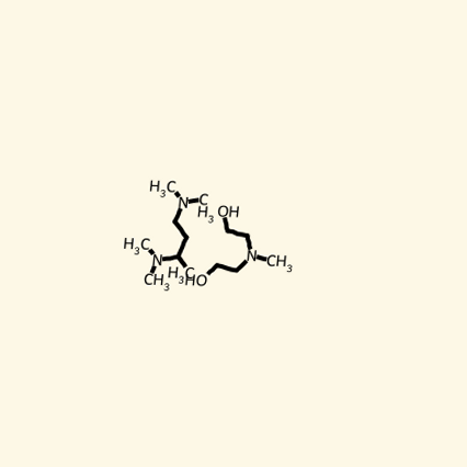 CC(CCN(C)C)N(C)C.CN(CCO)CCO